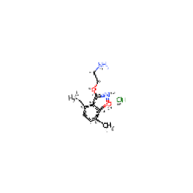 Cc1ccc(C)c2c(OCCN)noc12.Cl